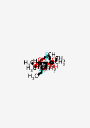 CCCCC(F)(F)[C@H](C)/C=C/[C@@H]1[C@@H](C/C=C/C[C@@H]2[C@@H](/C=C/[C@@H](O[Si](C)(C)C(C)(C)C)C(F)(F)CCCC)[C@H](OC(C)OCC)C[C@@H]2O)[C@@H](O)C[C@H]1OC(C)C